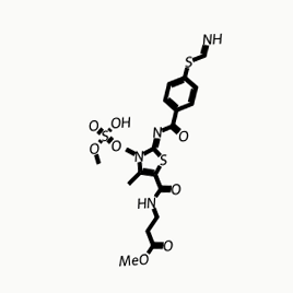 COC(=O)CCNC(=O)c1sc(=NC(=O)c2ccc(SC=N)cc2)n(C)c1C.COS(=O)(=O)O